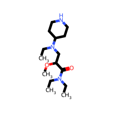 CCN(CC)C(=O)C(CN(CC)C1CCNCC1)OC